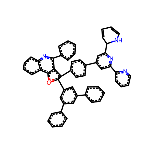 C1=CNC(c2cc(-c3ccc(-c4c(-c5cc(-c6ccccc6)cc(-c6ccccc6)c5)oc5c4c(-c4ccccc4)nc4ccccc45)cc3)cc(-c3ccccn3)n2)C=C1